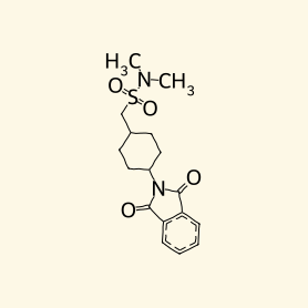 CN(C)S(=O)(=O)CC1CCC(N2C(=O)c3ccccc3C2=O)CC1